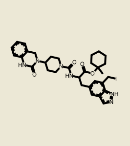 CC1(OC(=O)C(Cc2cc(CI)c3[nH]ncc3c2)NC(=O)N2CCC(N3Cc4ccccc4NC3=O)CC2)CCCCC1